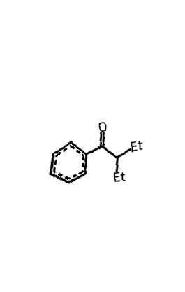 [CH2]CC(C[CH2])C(=O)c1ccccc1